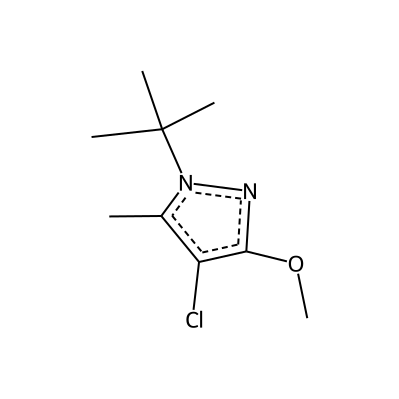 COc1nn(C(C)(C)C)c(C)c1Cl